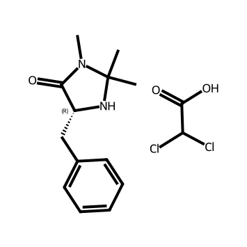 CN1C(=O)[C@@H](Cc2ccccc2)NC1(C)C.O=C(O)C(Cl)Cl